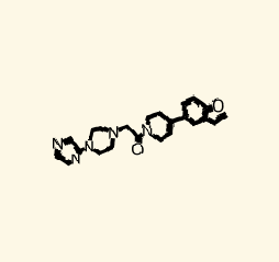 O=C(CN1CCN(c2cnccn2)CC1)N1CC=C(c2ccc3occc3c2)CC1